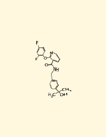 CC(C)(O)c1ccc(CNC(=O)c2cccnc2Oc2ccc(F)cc2F)cc1